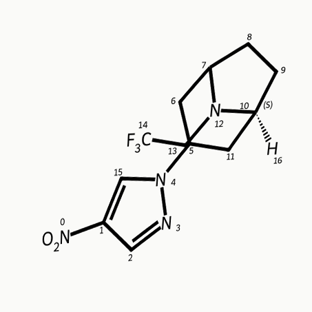 O=[N+]([O-])c1cnn(C2CC3CC[C@@H](C2)N3CC(F)(F)F)c1